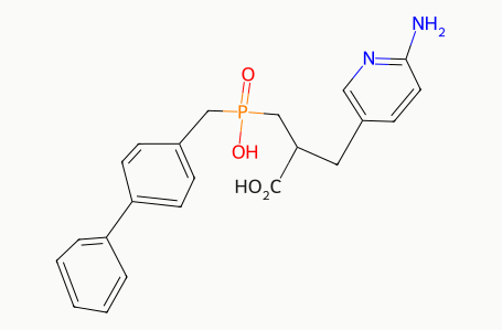 Nc1ccc(CC(CP(=O)(O)Cc2ccc(-c3ccccc3)cc2)C(=O)O)cn1